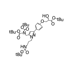 CC(C)(C)OC(=O)NCCCn1nc(-c2ccc(OC[C@@H](O)C(=O)OC(C)(C)C)cc2)cc1CN(C(=O)OC(C)(C)C)C(=O)OC(C)(C)C